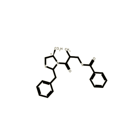 CC(CSC(=O)c1ccccc1)C(=O)N1C(Cc2ccccc2)SC[C@H]1C(=O)O